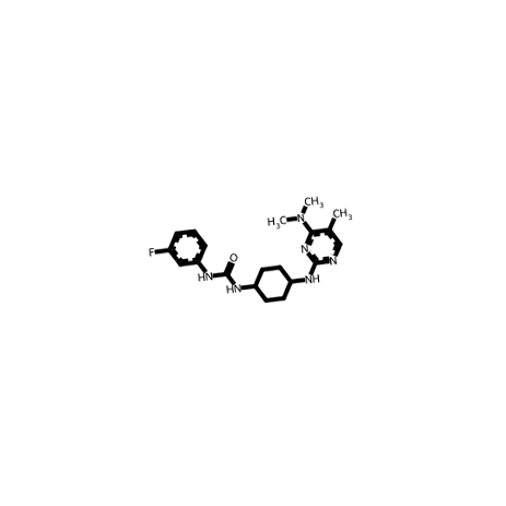 Cc1cnc(NC2CCC(NC(=O)Nc3cccc(F)c3)CC2)nc1N(C)C